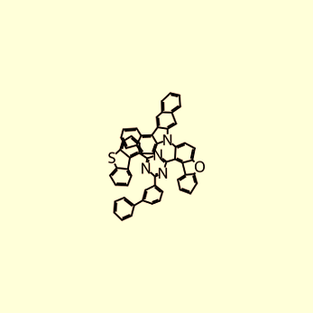 c1ccc(-c2cccc(-c3nc(-c4c(-n5c6cc7ccccc7cc6c6c7ccccc7ccc65)ccc5oc6ccccc6c45)nc(-c4cccc5sc6ccccc6c45)n3)c2)cc1